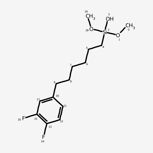 CO[Si](O)(CCCCCCc1ccc(F)c(F)c1)OC